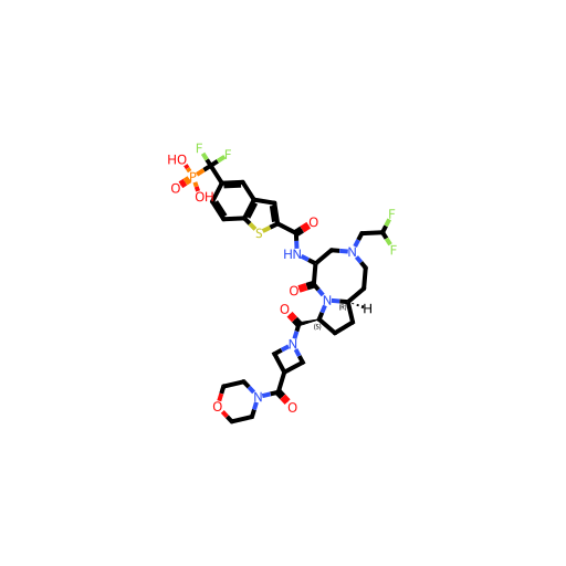 O=C(NC1CN(CC(F)F)CC[C@H]2CC[C@@H](C(=O)N3CC(C(=O)N4CCOCC4)C3)N2C1=O)c1cc2cc(C(F)(F)P(=O)(O)O)ccc2s1